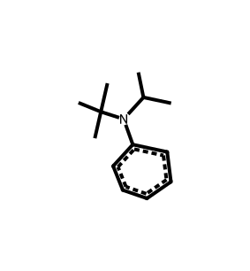 CC(C)N(c1ccccc1)C(C)(C)C